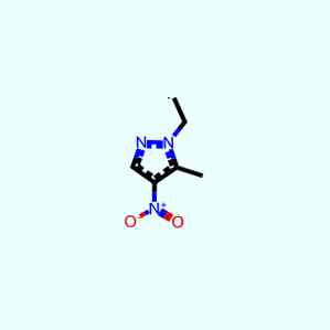 [CH2]Cn1ncc([N+](=O)[O-])c1C